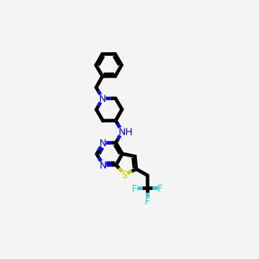 FC(F)(F)Cc1cc2c(NC3CCN(Cc4ccccc4)CC3)ncnc2s1